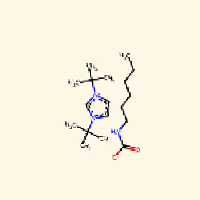 CC(C)(C)n1cc[n+](C(C)(C)C)c1.CCCCCCNC(=O)[O-]